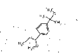 CCC(OC)c1ccc(C(C)(C)OC)cc1